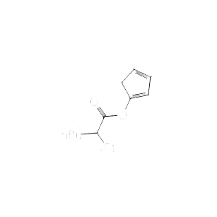 CCCCC(CC)C(=O)OC1=CC=CC1